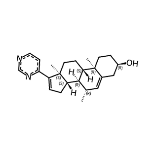 C[C@H]1C=C2C[C@H](O)CC[C@]2(C)[C@H]2CC[C@]3(C)C(c4ccncn4)=CC[C@H]3[C@H]12